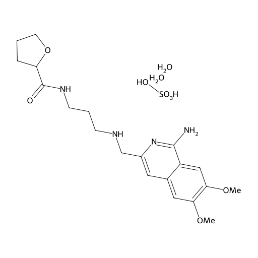 COc1cc2cc(CNCCCNC(=O)C3CCCO3)nc(N)c2cc1OC.O.O.O=S(=O)(O)O